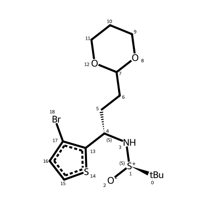 CC(C)(C)[S@@+]([O-])N[C@@H](CCC1OCCCO1)c1sccc1Br